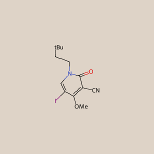 COc1c(I)cn(CCC(C)(C)C)c(=O)c1C#N